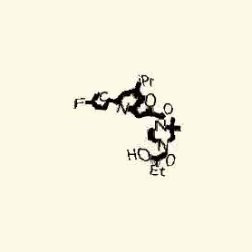 CC[C@@H](O)C(=O)N1CCN(C(=O)c2cc3nc(-c4ccc(F)cc4)cc(C(C)C)c3o2)C(C)(C)C1